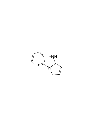 C1=CC2Nc3ccccc3N2C1